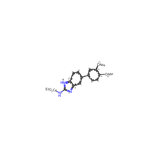 CCOC(=O)Nc1nc2cc(-c3ccc(OC)c(OC)c3)ccc2[nH]1